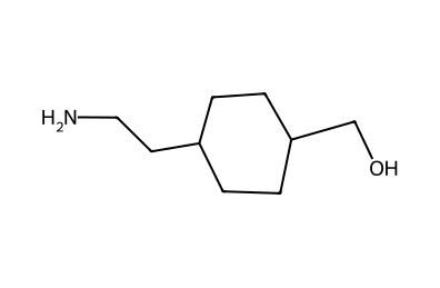 NCCC1CCC(CO)CC1